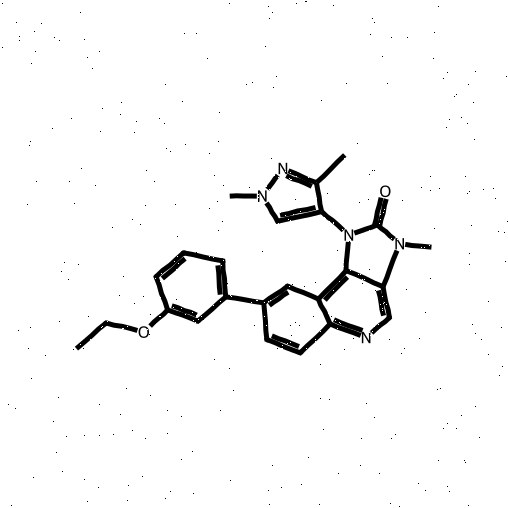 CCOc1cccc(-c2ccc3ncc4c(c3c2)n(-c2cn(C)nc2C)c(=O)n4C)c1